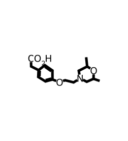 CC1CN(CCOc2ccc(CC(=O)O)cc2)CC(C)O1